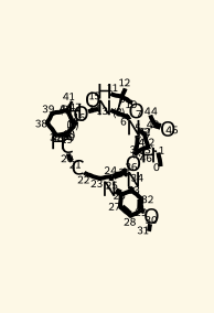 CC[C@@H]1[C@@H]2CN(C(=O)[C@H](C(C)(C)C)NC(=O)O[C@H]3[C@H](CCCCCc4nc5ccc(OC)cc5nc4O2)CCC[C@H]3C)[C@@H]1C(C)=O